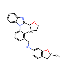 Cc1c(CNc2ccc3c(c2)O[C@@H](C)[CH]3)cccc1-n1c(C2CCCO2)nc2ccccc21